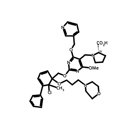 COc1nc(OCC2(OCCCN3CCOCC3)C=CC=C(c3ccccc3)C2(C)Cl)nc(OCc2cccnc2)c1CN1CCC[C@H]1C(=O)O